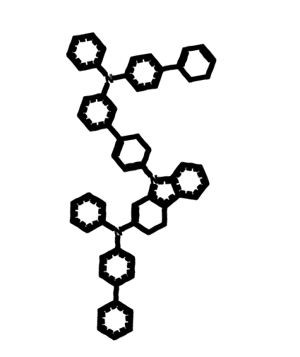 C1=CCCC(c2ccc(N(c3ccccc3)c3cccc(C4=CC=C(n5c6c(c7ccccc75)CCC(N(c5ccccc5)c5ccc(-c7ccccc7)cc5)=C6)CC4)c3)cc2)=C1